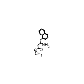 COC(=O)CC(N)Cc1cccc2ccccc12